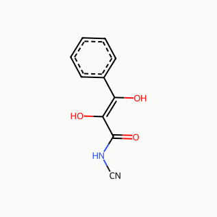 N#CNC(=O)C(O)=C(O)c1ccccc1